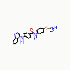 O=C(Nc1ccc(SC2CCCNC2)cc1)c1ccc(Nc2ccnc3ccccc23)cc1